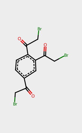 O=C(CBr)c1ccc(C(=O)CBr)c(C(=O)CBr)c1